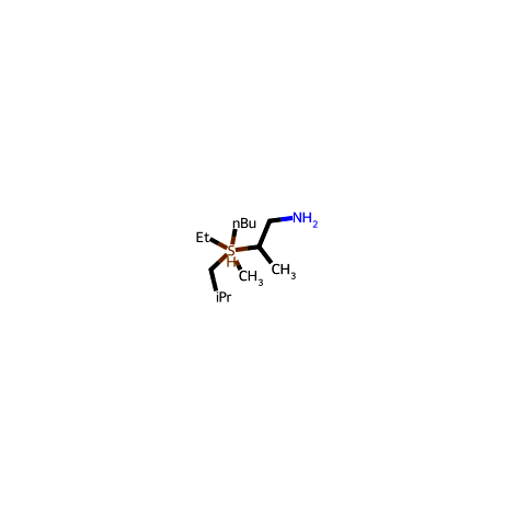 CCCC[SH](C)(CC)(CC(C)C)C(C)CN